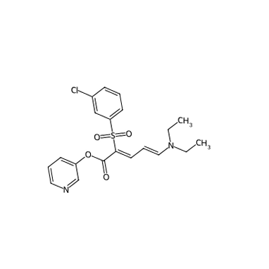 CCN(/C=C/C=C(/C(=O)Oc1cccnc1)S(=O)(=O)c1cccc(Cl)c1)CC